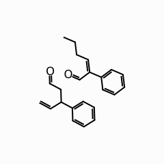 C=CC(CC=O)c1ccccc1.CCCC=C(C=O)c1ccccc1